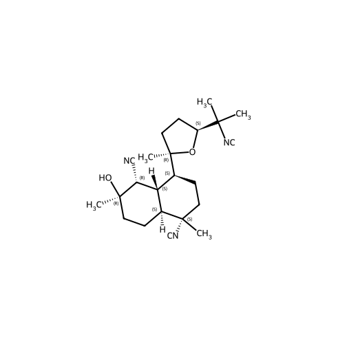 [C-]#[N+][C@@H]1[C@@H]2[C@@H]([C@@]3(C)CC[C@@H](C(C)(C)[N+]#[C-])O3)CC[C@](C)([N+]#[C-])[C@H]2CC[C@@]1(C)O